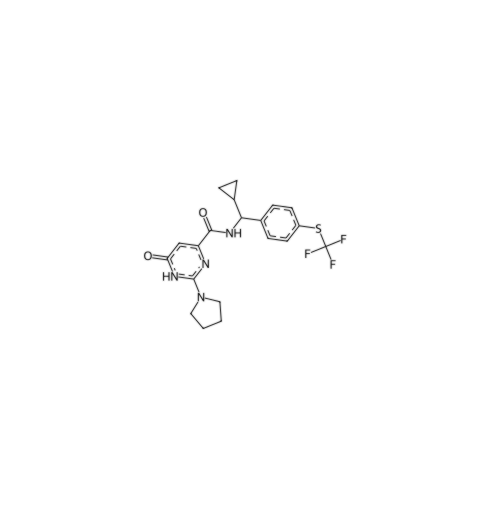 O=C(NC(c1ccc(SC(F)(F)F)cc1)C1CC1)c1cc(=O)[nH]c(N2CCCC2)n1